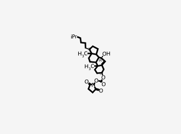 CC(C)CCCC[C@H]1CCC2C3C(CCC21C)C1(C)CC[C@H](OC(=O)ON2C(=O)CCC2=O)CC1=C[C@@H]3O